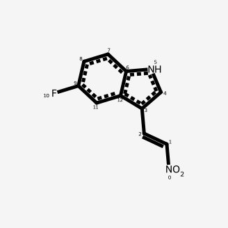 O=[N+]([O-])/C=C/c1c[nH]c2ccc(F)cc12